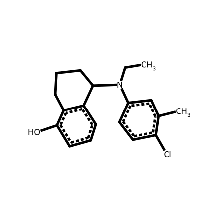 CCN(c1ccc(Cl)c(C)c1)C1CCCc2c(O)cccc21